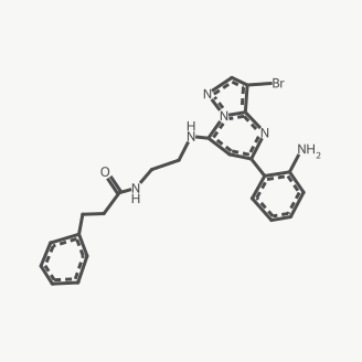 Nc1ccccc1-c1cc(NCCNC(=O)CCc2ccccc2)n2ncc(Br)c2n1